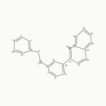 c1ccc(COc2cccc(-c3ccc4ccccc4n3)c2)cc1